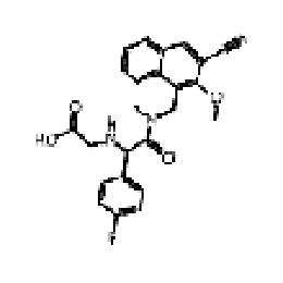 COc1c(C#N)cc2ccccc2c1CN(C)C(=O)C(NCC(=O)O)c1ccc(F)cc1